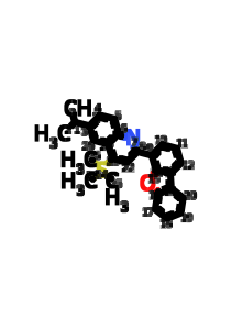 CC(C)c1ccc2nc(-c3cccc4c3oc3ccccc34)cc(S(C)(C)C)c2c1